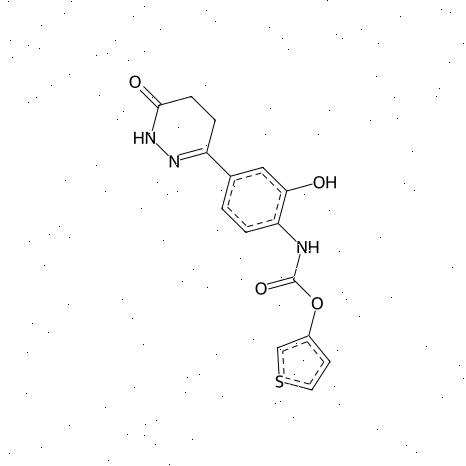 O=C1CCC(c2ccc(NC(=O)Oc3ccsc3)c(O)c2)=NN1